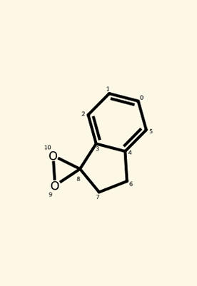 c1ccc2c(c1)CCC21OO1